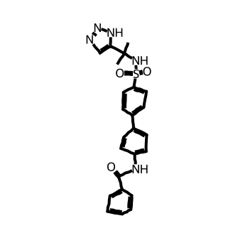 CC(C)(NS(=O)(=O)c1ccc(-c2ccc(NC(=O)c3ccccc3)cc2)cc1)c1cnn[nH]1